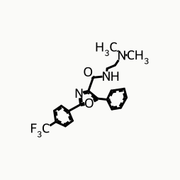 CN(C)CCNC(=O)c1nc(-c2ccc(C(F)(F)F)cc2)oc1-c1ccccc1